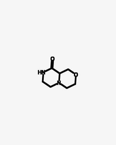 O=C1NCCN2CCOCC12